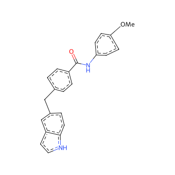 COc1ccc(NC(=O)c2ccc(Cc3ccc4[nH]ccc4c3)cc2)cc1